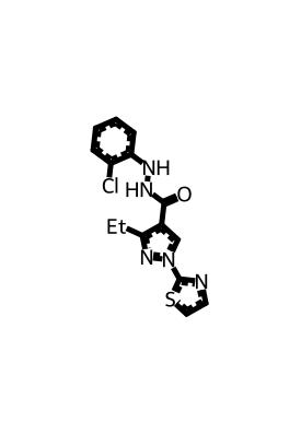 CCc1nn(-c2nccs2)cc1C(=O)NNc1ccccc1Cl